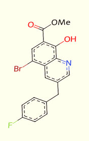 COC(=O)c1cc(Br)c2cc(Cc3ccc(F)cc3)cnc2c1O